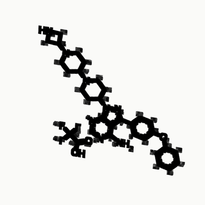 Nc1ncnc2c1c(-c1ccc(Oc3ccccc3)cc1)nn2C1CCN(C2CCN(C3CNC3)CC2)CC1.O=C(O)C(F)(F)F